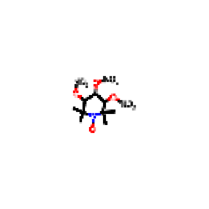 CC1(C)C(O[N+](=O)[O-])C(O[N+](=O)[O-])C(O[N+](=O)[O-])C(C)(C)N1[O]